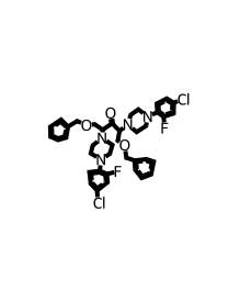 O=C(C(COCc1ccccc1)N1CCN(c2ccc(Cl)cc2F)CC1)C(COCc1ccccc1)N1CCN(c2ccc(Cl)cc2F)CC1